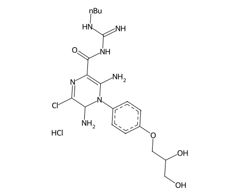 CCCCNC(=N)NC(=O)C1=C(N)N(c2ccc(OCC(O)CO)cc2)C(N)C(Cl)=N1.Cl